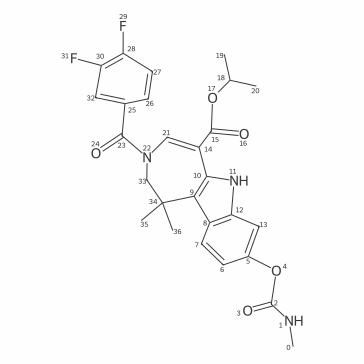 CNC(=O)Oc1ccc2c3c([nH]c2c1)C(C(=O)OC(C)C)=CN(C(=O)c1ccc(F)c(F)c1)CC3(C)C